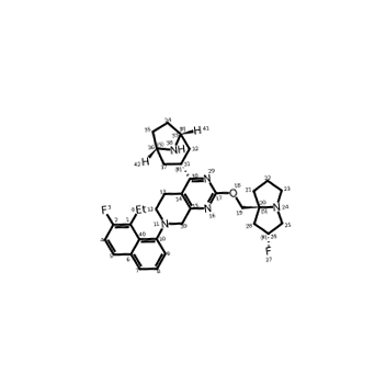 CCc1c(F)ccc2cccc(N3CCc4c(nc(OC[C@@]56CCCN5C[C@H](F)C6)nc4[C@H]4C[C@H]5CC[C@@H](C4)N5)C3)c12